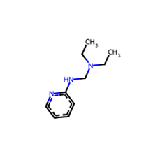 CCN(CC)CNc1ccccn1